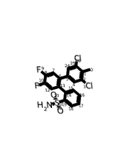 Cc1c(Cl)cc(-c2cc(F)c(F)cc2-c2ccccc2S(N)(=O)=O)cc1Cl